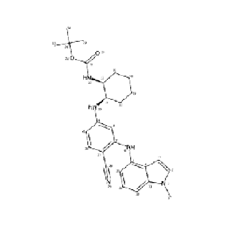 Cn1ccc2c(Nc3cc(N[C@@H]4CCCC[C@@H]4NC(=O)OC(C)(C)C)ccc3C#N)cccc21